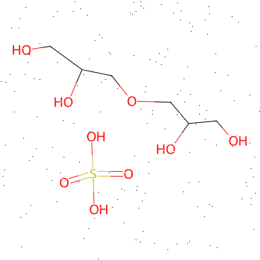 O=S(=O)(O)O.OCC(O)COCC(O)CO